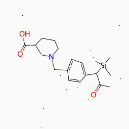 CC(=O)C(c1ccc(CN2CCCC(C(=O)O)C2)cc1)[Si](C)(C)C